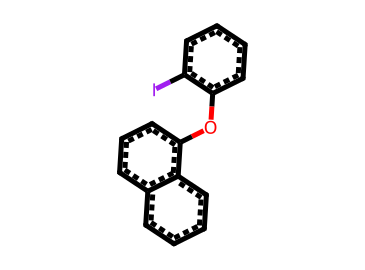 Ic1ccccc1Oc1cccc2ccccc12